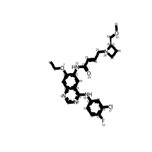 CCOc1cc2ncnc(Nc3ccc(F)c(Cl)c3)c2cc1NC(=O)C=CCN1CC[C@@H]1COC